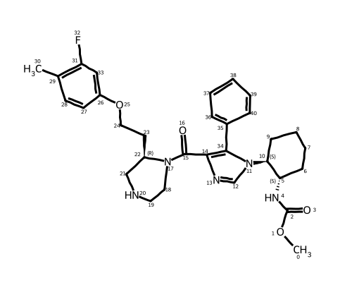 COC(=O)N[C@H]1CCCC[C@@H]1n1cnc(C(=O)N2CCNC[C@H]2CCOc2ccc(C)c(F)c2)c1-c1ccccc1